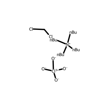 CCCC[N+](CCCC)(CCCC)CCCC.ClCCl.[O-][Cl+3]([O-])([O-])[O-]